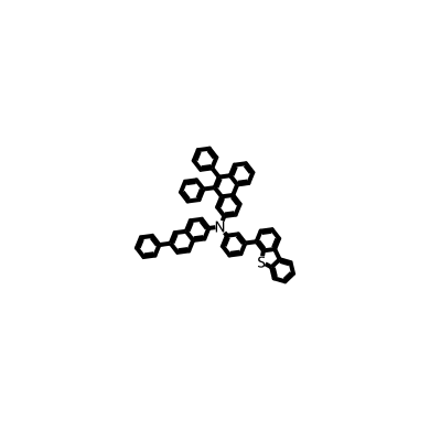 c1ccc(-c2ccc3cc(N(c4cccc(-c5cccc6c5sc5ccccc56)c4)c4ccc5c(c4)c(-c4ccccc4)c(-c4ccccc4)c4ccccc45)ccc3c2)cc1